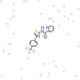 O=C(Nc1nc(-c2ccc(C(F)(F)F)cc2)cs1)c1ccccn1